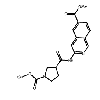 COC(=O)c1ccc2cnc(NC(=O)[C@H]3CCN(C(=O)OC(C)(C)C)C3)cc2c1